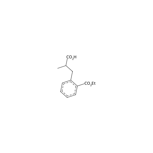 CCOC(=O)c1ccccc1CC(C)C(=O)O